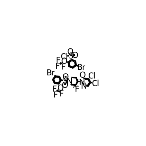 O=S(=O)(Cl)c1cc(Br)ccc1OC(F)(F)F.O=c1c(Cl)c(Cl)cnn1[C@@H]1CCN(S(=O)(=O)c2cc(Br)ccc2OC(F)(F)F)C[C@H]1F